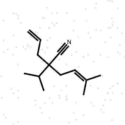 C=CCC(C#N)(CC=C(C)C)C(C)C